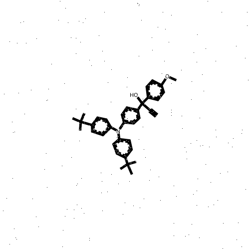 C#CC(O)(c1ccc(OC)cc1)c1ccc(N(c2ccc(C(C)(C)C)cc2)c2ccc(C(C)(C)C)cc2)cc1